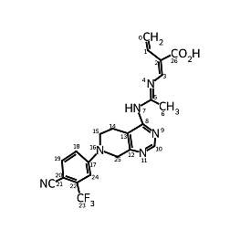 C=C/C(=C\N=C(/C)Nc1ncnc2c1CCN(c1ccc(C#N)c(C(F)(F)F)c1)C2)C(=O)O